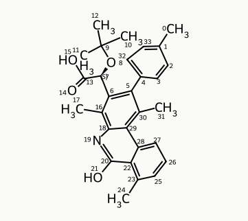 Cc1ccc(-c2c([C@H](OC(C)(C)C)C(=O)O)c(C)c3nc(O)c4c(C)cccc4c3c2C)cc1